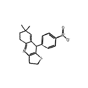 CC1(C)C=C2C(=NC3=C(SCC3)C2c2ccc([N+](=O)[O-])cc2)CC1